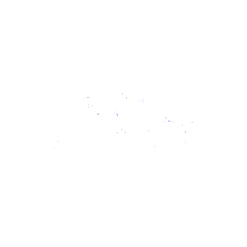 Ic1cccc(-n2nnc(-c3ccccn3)n2)c1